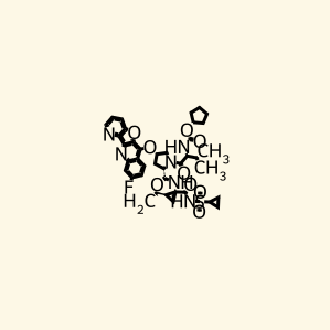 C=C[C@@H]1C[C@]1(NC(=O)[C@@H]1C[C@@H](Oc2c3ccc(F)cc3nc3c2oc2cccnc23)CN1C(=O)[C@@H](NC(=O)OC1CCCC1)C(C)C)C(=O)NS(=O)(=O)C1CC1